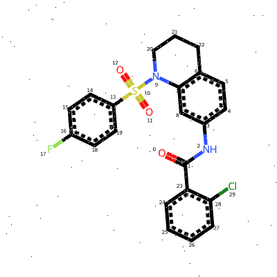 O=C(Nc1ccc2c(c1)N(S(=O)(=O)c1ccc(F)cc1)CCC2)c1ccccc1Cl